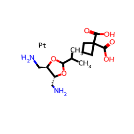 CC(C)C1O[C@H](CN)[C@@H](CN)O1.O=C(O)C1(C(=O)O)CCC1.[Pt]